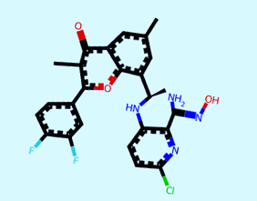 Cc1cc([C@@H](C)Nc2ccc(Cl)nc2/C(N)=N/O)c2oc(-c3ccc(F)c(F)c3)c(C)c(=O)c2c1